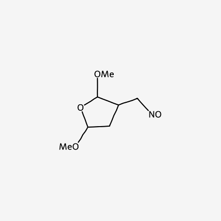 COC1CC(CN=O)C(OC)O1